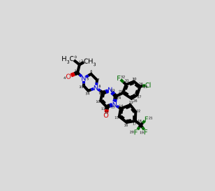 CC(C)C(=O)N1CCN(c2cc(=O)n(-c3ccc(C(F)(F)F)cc3)c(-c3ccc(Cl)cc3F)n2)CC1